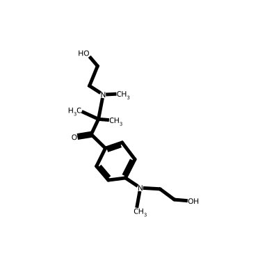 CN(CCO)c1ccc(C(=O)C(C)(C)N(C)CCO)cc1